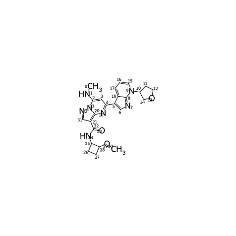 CNc1cc(-c2cnc3n(C4CCOC4)cccc2-3)nc2c(C(=O)NC3CCC3OC)cnn12